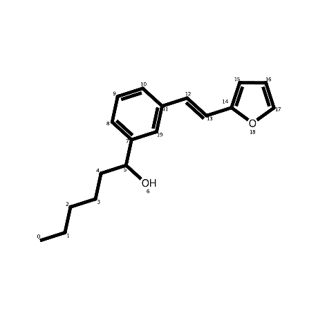 CCCCCC(O)c1cccc(/C=C/c2ccco2)c1